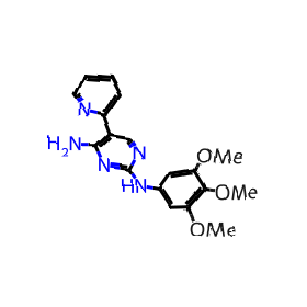 COc1cc(Nc2ncc(-c3ccccn3)c(N)n2)cc(OC)c1OC